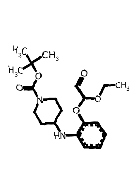 CCOC(C=O)Oc1ccccc1NC1CCN(C(=O)OC(C)(C)C)CC1